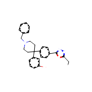 CCc1nnc(-c2ccc(C3(c4cccc(O)c4)CCN(Cc4ccccc4)CC3)cc2)o1